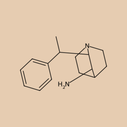 CC(c1ccccc1)C1C(N)C2CCN1CC2